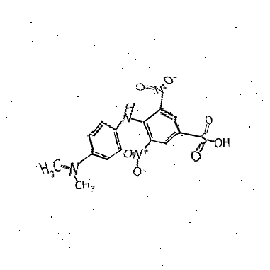 CN(C)c1ccc(Nc2c([N+](=O)[O-])cc(S(=O)(=O)O)cc2[N+](=O)[O-])cc1